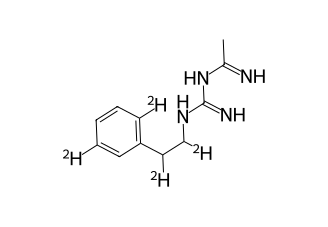 [2H]c1ccc([2H])c(C([2H])C([2H])NC(=N)NC(C)=N)c1